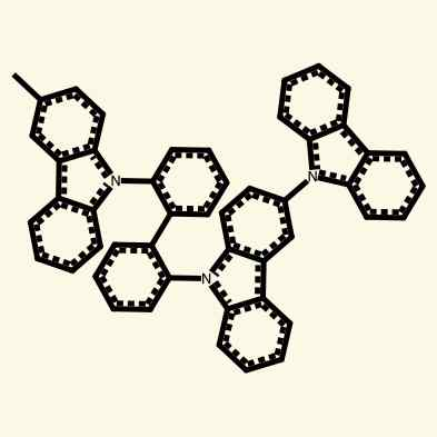 Cc1ccc2c(c1)c1ccccc1n2-c1ccccc1-c1ccccc1-n1c2ccccc2c2cc(-n3c4ccccc4c4ccccc43)ccc21